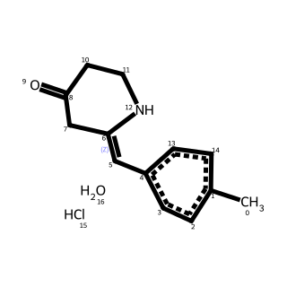 Cc1ccc(/C=C2/CC(=O)CCN2)cc1.Cl.O